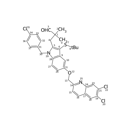 CC(C)(C=O)Cc1c(SC(C)(C)C)c2cc(OCc3ccc4cc(Cl)c(Cl)cc4n3)ccc2n1Cc1ccc(Cl)cc1